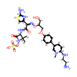 C[n+]1cc(-c2ccc(OCC(CO)O/N=C(\C(=O)N[C@@H]3C(=O)N(OS(=O)(=O)[O-])C3(C)C)c3csc(N)n3)cc2)ccc1NCCN